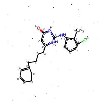 Cc1c(Cl)cccc1Nc1nc(=O)cc(CCCCC2=CC=CCC2)[nH]1